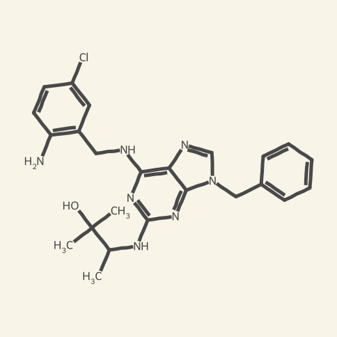 CC(Nc1nc(NCc2cc(Cl)ccc2N)c2ncn(Cc3ccccc3)c2n1)C(C)(C)O